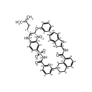 CN(C)CC[C@H](COc1ccccc1)Nc1ccc(S(=O)(=O)NC(=O)c2cccc(N3CCc4cccc(C(=O)Nc5nc6ccccc6s5)c4C3)n2)cc1[N+](=O)[O-]